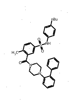 CCCCc1ccc(NS(=O)(=O)c2ccc(C)c(C(=O)N3CCN(c4ccccc4-c4ccccc4)CC3)c2)cc1